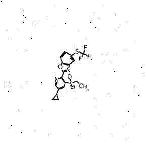 CCS(=O)(=O)c1cc(C2CC2)cnc1-c1nc2cc(SC(F)(F)F)ccc2o1